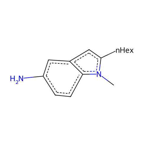 CCCCCCc1cc2cc(N)ccc2n1C